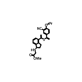 C=C(SC(=C)c1cccc2c1CCC2NCC(=O)OC)c1ccc(OC(C)C)c(C#N)c1